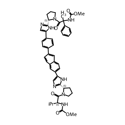 COC(=O)N[C@H](C(=O)N1CCC[C@H]1c1ncc(-c2ccc3cc(-c4ccc(-c5cnc([C@@H]6CCCN6C(=O)C(C)(NC(=O)OC)c6ccccc6)[nH]5)cc4)ccc3c2)[nH]1)C(C)C